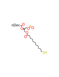 CCCCCCCCCCC(=O)O[C@@H](COP=O)COC(=O)CCCCCCCCCCS